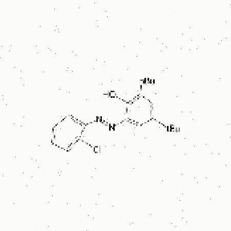 CCCCc1cc(C(C)(C)C)cc(N=Nc2ccccc2Cl)c1O